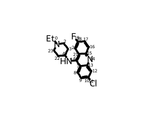 CCN1CCC(Nc2c3ccc(Cl)cc3nc3ccc(F)cc23)CC1